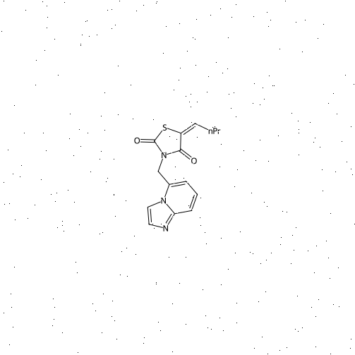 CCC/C=C1/SC(=O)N(Cc2cccc3nccn23)C1=O